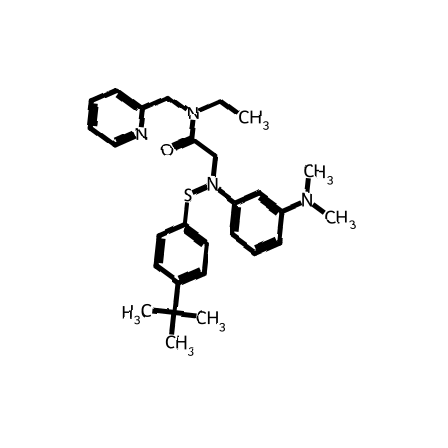 CCN(Cc1ccccn1)C(=O)CN(Sc1ccc(C(C)(C)C)cc1)c1cccc(N(C)C)c1